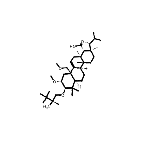 COC[C@]12C[C@@H](OC)[C@H](OC[C@](C)(N)C(C)(C)C)C(C)(C)[C@@H]1CC[C@H]1C2=CC[C@@]2(C)[C@H](C(=O)O)[C@@](C)([C@H](C)C(C)C)CC[C@]12C